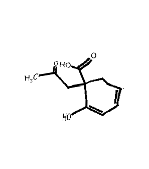 CC(=O)CC1(C(=O)O)C[C]=CC=C1O